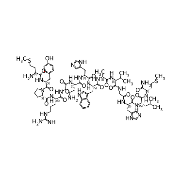 CSCC[C@H](NC(=O)[C@H](CC(C)C)NC(=O)[C@H](Cc1cnc[nH]1)NC(=O)CNC(=O)[C@@H](NC(=O)[C@H](C)NC(=O)[C@H](Cc1c[nH]c2ccccc12)NC(=O)[C@H](Cc1cnc[nH]1)NC(=O)[C@H](CC(N)=O)NC(=O)CNC(=O)[C@H](CCCNC(=N)N)NC(=O)[C@@H]1CCCN1C(=O)[C@H](Cc1ccc(O)cc1)NC(=O)[C@@H](N)CCSC)C(C)C)C(N)=O